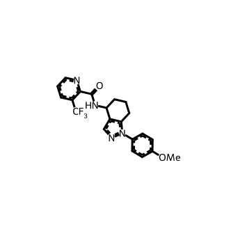 COc1ccc(-n2ncc3c2CCCC3NC(=O)c2ncccc2C(F)(F)F)cc1